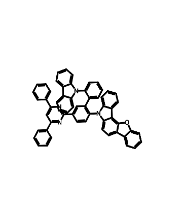 c1ccc(-c2cc(-c3ccccc3)nc(-c3ccc(-n4c5ccccc5c5c6oc7ccccc7c6ccc54)c(-c4ccccc4-n4c5ccccc5c5ccccc54)c3)n2)cc1